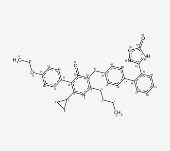 CCCCc1nc(C2CC2)c(-c2ccc(OCC)cc2)c(=O)n1Cc1ccc(-c2ccccc2-c2noc(=O)[nH]2)cc1